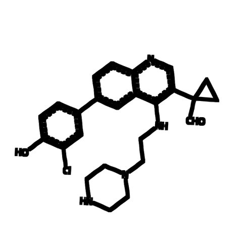 O=CC1(c2cnc3ccc(-c4ccc(O)c(Cl)c4)cc3c2NCCN2CCNCC2)CC1